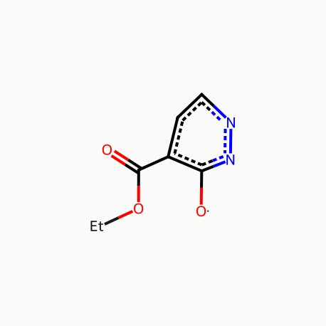 CCOC(=O)c1ccnnc1[O]